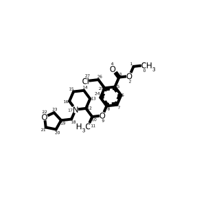 CCOC(=O)c1ccc(OC(C)C2CCCCN2CC2CCOC2)cc1CCl